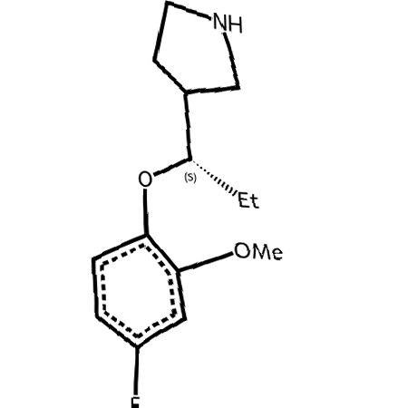 CC[C@H](Oc1ccc(F)cc1OC)C1CCNC1